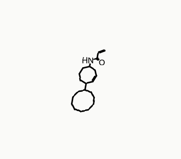 C=CC(=O)NC1C/C=C\C(C2CCCCCCCCC2)CCC1